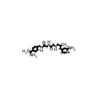 C=C(N)c1ccc(CNC(=O)CNC(=O)CNCC(C)Cc2ccnc(N)c2)cc1